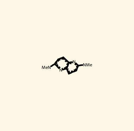 CNc1ccc2nc(NC)ccc2n1